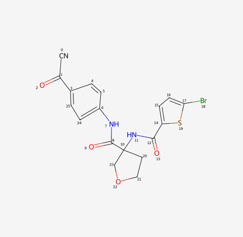 N#CC(=O)c1ccc(NC(=O)C2(NC(=O)c3ccc(Br)s3)CCOC2)cc1